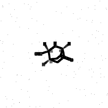 O=C[C@H]1N[C@H]2CC[C@@H]1CC2=O